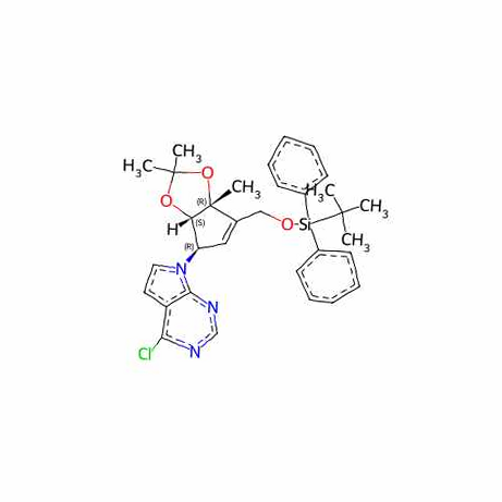 CC1(C)O[C@H]2[C@H](n3ccc4c(Cl)ncnc43)C=C(CO[Si](c3ccccc3)(c3ccccc3)C(C)(C)C)[C@@]2(C)O1